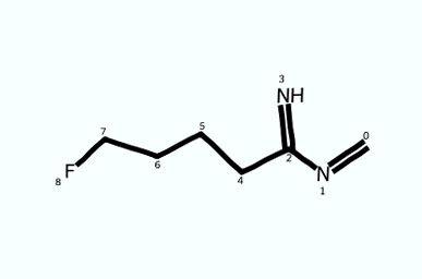 C=NC(=N)CCCCF